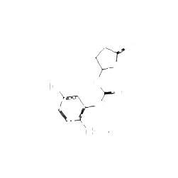 CCCCCCc1ccc(O)cc1OC(=O)OC1CCC(=O)N1